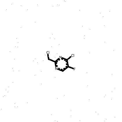 Fc1cnc(CCl)nc1Cl